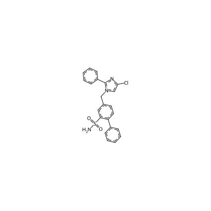 NS(=O)(=O)c1cc(Cn2cc(Cl)nc2-c2ccccc2)ccc1-c1ccccc1